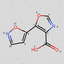 O=C(O)c1ncoc1-c1ccno1